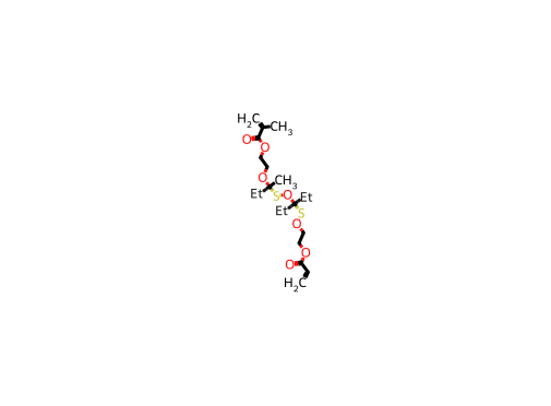 C=CC(=O)OCCOSC(CC)(CC)OSC(C)(CC)OCCOC(=O)C(=C)C